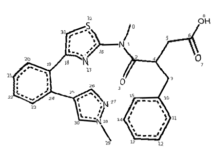 CN(C(=O)C(CC(=O)O)Cc1ccccc1)c1nc(-c2ccccc2-c2cnn(C)c2)cs1